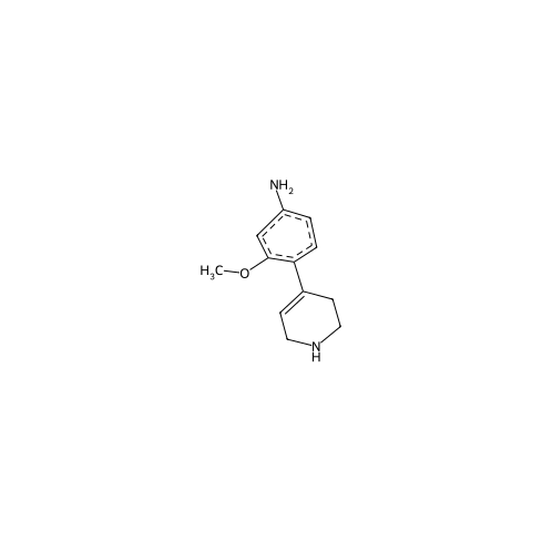 COc1cc(N)ccc1C1=CCNCC1